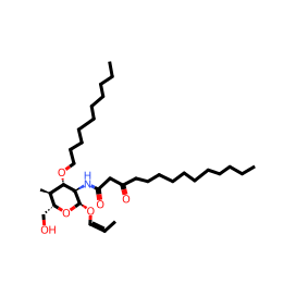 C/C=C\O[C@H]1O[C@H](CO)[C@@H](C)[C@H](OCCCCCCCCCC)[C@H]1NC(=O)CC(=O)CCCCCCCCCCC